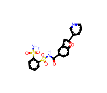 NS(=O)(=O)c1ccccc1S(=O)(=O)NC(=O)c1ccc2oc(-c3cccnc3)cc2c1